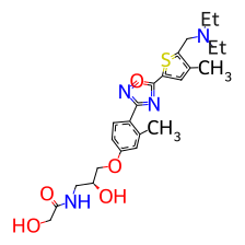 CCN(CC)Cc1sc(-c2nc(-c3ccc(OC[C@@H](O)CNC(=O)CO)cc3C)no2)cc1C